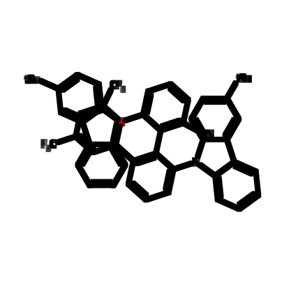 CC(C)(C)c1ccc2c(c1)c1ccccc1n2-c1cccc(C#N)c1-c1c(-c2cc(C(F)(F)F)cc(C(F)(F)F)c2)cccc1-n1c2ccccc2c2cc(C(C)(C)C)ccc21